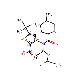 CC(F)CC(C)N(C(=O)C1CCC(C)CC1)c1cc(C(C)(C)C)sc1C(=O)O